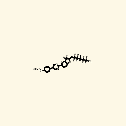 CCCCCCCCOc1ccc(-c2cnc(-c3ccc4c(n3)C(F)(F)C(CC(F)(F)C(F)(F)C(F)(F)C(F)(F)C(F)(F)C(F)(F)F)O4)nc2)cc1